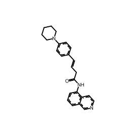 O=C(CC=Cc1ccc(N2CCCCC2)cc1)Nc1cccc2cnccc12